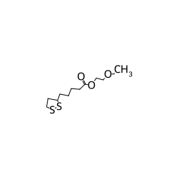 CCOCCOC(=O)CCCCC1CCSS1